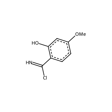 COc1ccc(C(=N)Cl)c(O)c1